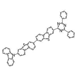 c1ccc(-c2nc(-c3ccccc3)nc(-c3ccc4c(c3)sc3cc(-c5ccc6c(c5)sc5cc(-n7c8ccccc8c8ccccc87)ccc56)ccc34)n2)cc1